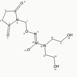 O=C1CCC(=O)N1CON=[N+]([O-])N(CCO)CCO